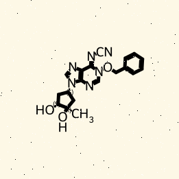 C[C@@]1(O)C[C@@H](n2cnc3c(=NC#N)n(OCc4ccccc4)cnc32)C[C@@H]1O